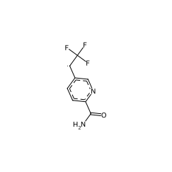 NC(=O)c1ccc([CH]C(F)(F)F)cn1